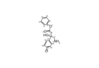 NCC(O)(CC(=O)Oc1ccccc1)c1ccc(Cl)cc1